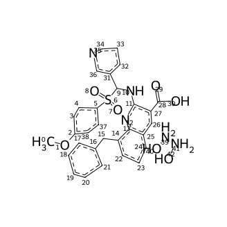 COc1ccc(S(=O)(=O)C(Nc2nc3c(Cc4ccccc4)cccc3cc2C(=O)O)c2cccnc2)cc1.NO.NO